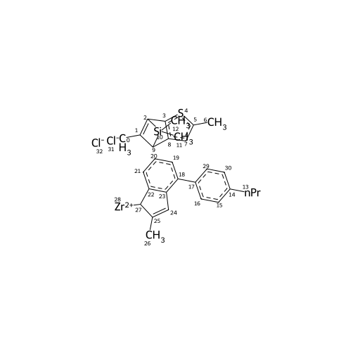 CC1=C2c3sc(C)cc3C1[Si]2(C)C.CCCc1ccc(-c2cccc3c2C=C(C)[CH]3[Zr+2])cc1.[Cl-].[Cl-]